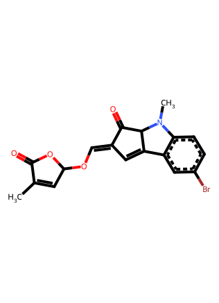 CC1=CC(O/C=C2\C=C3c4cc(Br)ccc4N(C)C3C2=O)OC1=O